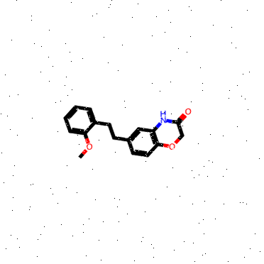 COc1ccccc1CCc1ccc2c(c1)NC(=O)CO2